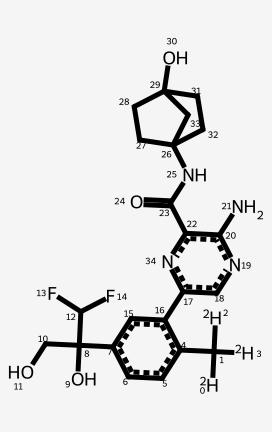 [2H]C([2H])([2H])c1ccc(C(O)(CO)C(F)F)cc1-c1cnc(N)c(C(=O)NC23CCC(O)(CC2)C3)n1